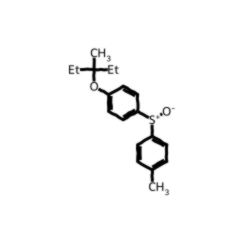 CCC(C)(CC)Oc1ccc([S+]([O-])c2ccc(C)cc2)cc1